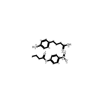 CCCC(=O)Oc1ccc([N+](=O)[O-])cc1.Nc1ccc(CCCC(=O)O)cc1